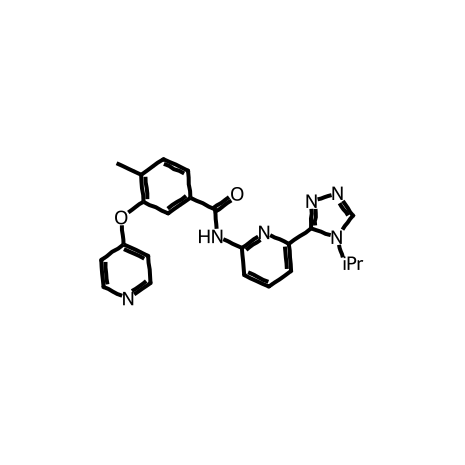 Cc1ccc(C(=O)Nc2cccc(-c3nncn3C(C)C)n2)cc1Oc1ccncc1